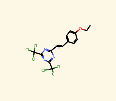 CCOc1ccc(/C=C/c2nc(C(Cl)(Cl)Cl)nc(C(Cl)(Cl)Cl)n2)cc1